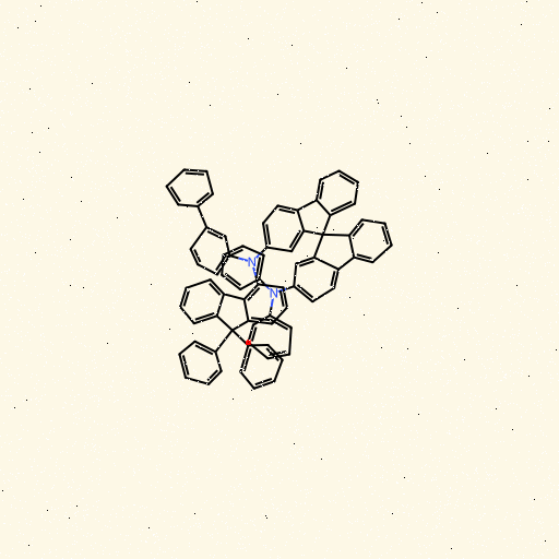 c1ccc(-c2cccc(N(c3ccc4c(c3)C3(c5ccccc5-c5ccc(N(c6ccccc6)c6ccccc6)cc53)c3ccccc3-4)c3cccc4c3-c3ccccc3C4(c3ccccc3)c3ccccc3)c2)cc1